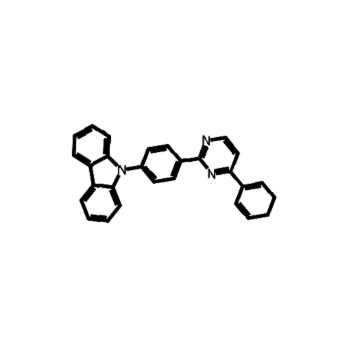 C1=CC(c2ccnc(-c3ccc(-n4c5ccccc5c5ccccc54)cc3)n2)=CCC1